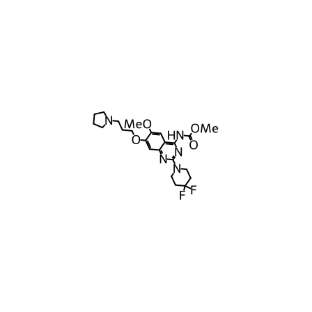 COC(=O)Nc1nc(N2CCC(F)(F)CC2)nc2cc(OCCCN3CCCC3)c(OC)cc12